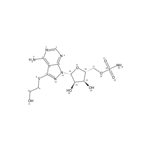 Nc1ncnc2c1c(SCCO)nn2[C@@H]1O[C@H](COS(N)(=O)=O)[C@@H](O)[C@H]1O